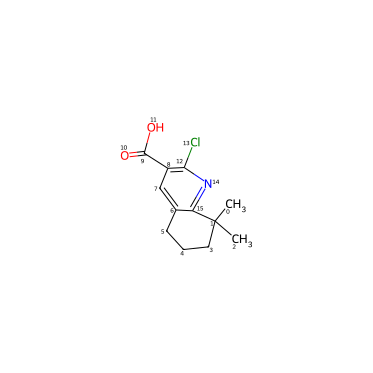 CC1(C)CCCc2cc(C(=O)O)c(Cl)nc21